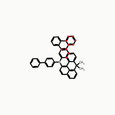 CC1(C)c2ccc(-c3cc4ccccc4c4ccccc34)cc2-c2c(N(c3ccc(-c4ccccc4)cc3)c3ccc(-c4ccccc4)cc3)ccc3cccc1c23